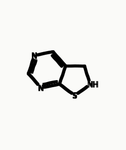 c1ncc2c(n1)SNC2